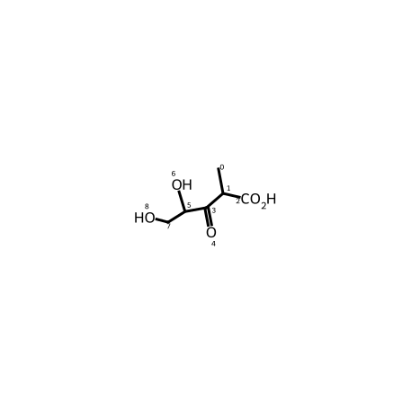 CC(C(=O)O)C(=O)C(O)CO